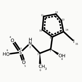 C[C@@H](NS(=O)(=O)O)[C@H](O)c1ccccc1I